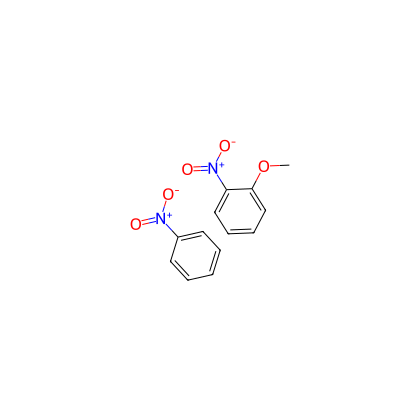 COc1ccccc1[N+](=O)[O-].O=[N+]([O-])c1ccccc1